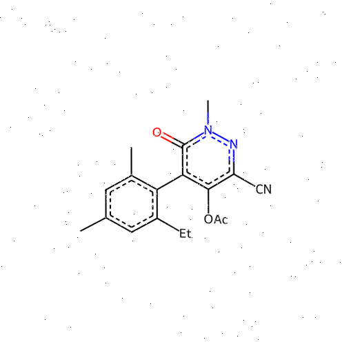 CCc1cc(C)cc(C)c1-c1c(OC(C)=O)c(C#N)nn(C)c1=O